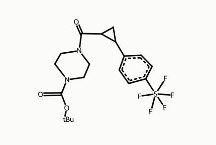 CC(C)(C)OC(=O)N1CCN(C(=O)C2CC2c2ccc(S(F)(F)(F)(F)F)cc2)CC1